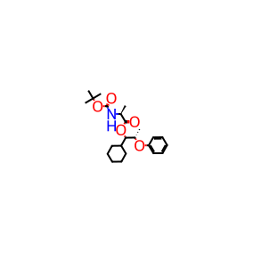 C[C@H](NC(=O)OC(C)(C)C)C(=O)OC(C1CCCCC1)[C@H](C)Oc1ccccc1